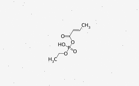 CC=CC(=O)OP(=O)(O)OCC